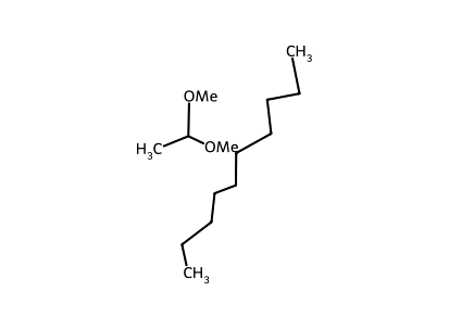 CCCCCCCCCC.COC(C)OC